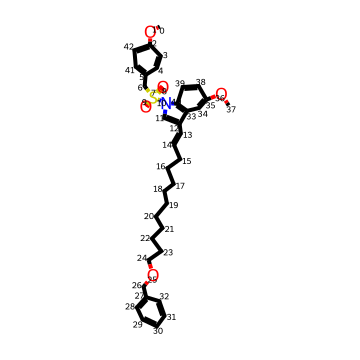 COc1ccc(CS(=O)(=O)n2cc(C=CCCCCCCCCCCOCc3ccccc3)c3cc(OC)ccc32)cc1